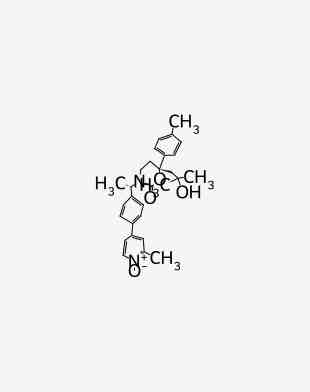 Cc1ccc([C@@]2(CC(C)(C)O)CCN([C@@H](C)c3ccc(-c4cc[n+]([O-])c(C)c4)cc3)C(=O)O2)cc1